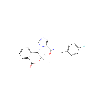 CC1(C)OC(=O)c2ccccc2C1n1cncc1C(=O)NCc1ccc(F)cc1